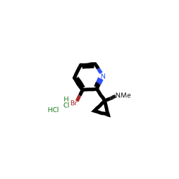 CNC1(c2ncccc2Br)CC1.Cl.Cl